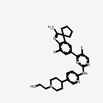 CC1=Nc2c(F)cc(-c3nc(Nc4ccc(C5CCN(CCO)CC5)cn4)ncc3F)cc2C12CCCC2